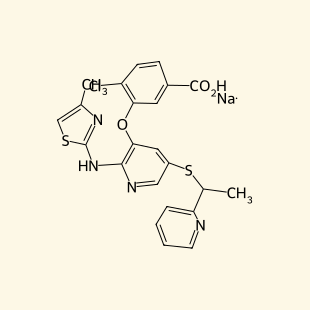 Cc1csc(Nc2ncc(SC(C)c3ccccn3)cc2Oc2cc(C(=O)O)ccc2Cl)n1.[Na]